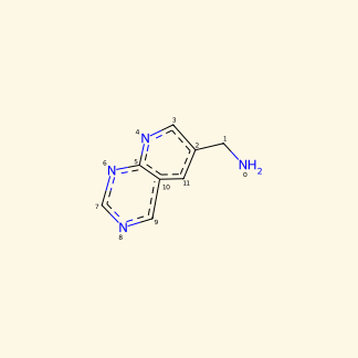 NCc1cnc2ncncc2c1